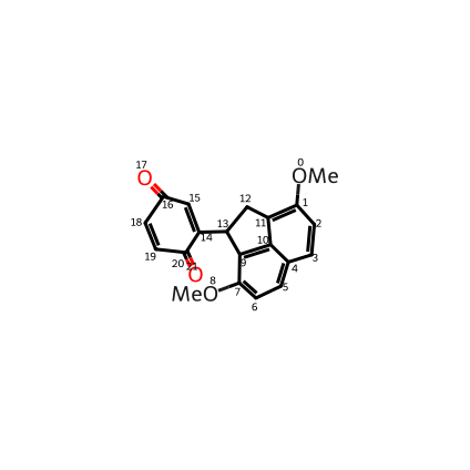 COc1ccc2ccc(OC)c3c2c1CC3C1=CC(=O)C=CC1=O